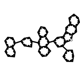 c1ccc(-c2cc(-c3c4ccccc4c(-c4ccc(-c5cccc6ccccc56)cc4)c4ccccc34)cc3c2oc2cc4ccccc4cc23)cc1